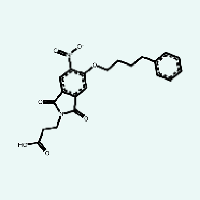 O=C(O)CCN1C(=O)c2cc(OCCCCc3ccccc3)c([N+](=O)[O-])cc2C1=O